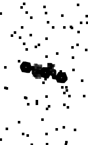 [2H]C([2H])(OCc1ccccc1)c1ccc(OCc2ccccc2)c(Br)c1